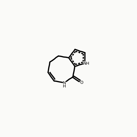 O=C1NC=CCCc2cc[nH]c21